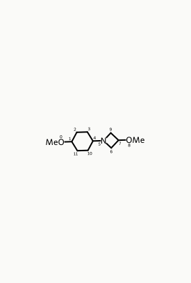 COC1CCC(N2CC(OC)C2)CC1